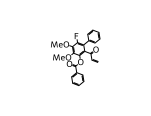 C=CC(=O)c1c(OC(=O)c2ccccc2)c(OC)c(OC)c(F)c1-c1ccccc1